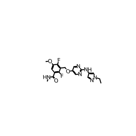 CCn1cc(Nc2ncc(OCc3c(F)c(OC)cc(C(=O)NC)c3F)cn2)cn1